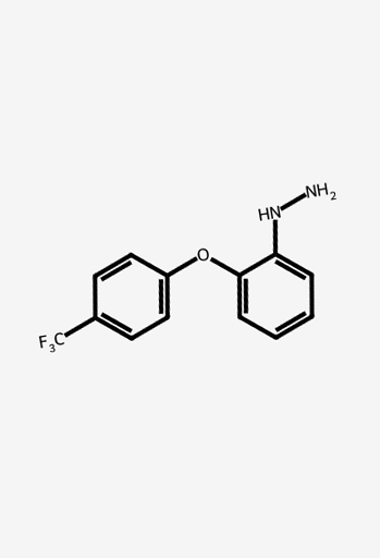 NNc1ccccc1Oc1ccc(C(F)(F)F)cc1